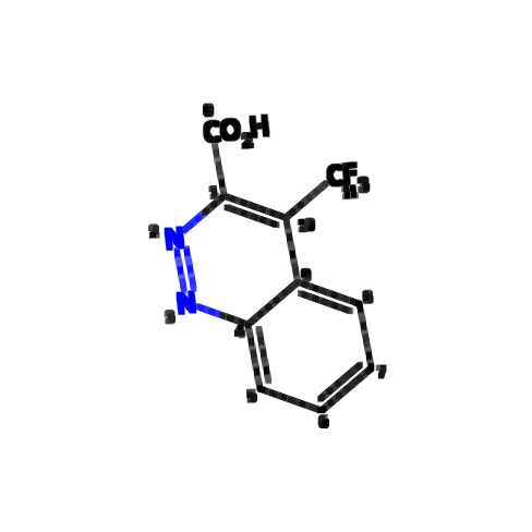 O=C(O)c1nnc2ccccc2c1C(F)(F)F